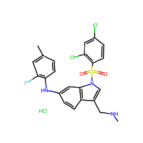 CNCc1cn(S(=O)(=O)c2ccc(Cl)cc2Cl)c2cc(Nc3ccc(C)cc3F)ccc12.Cl